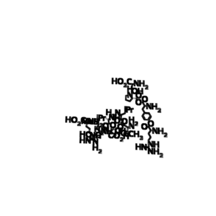 CC(C)C[C@H](N)C(=O)OC(=O)[C@@H](N)[C@@H](C)O.CC(C)[C@H](N)C(=O)O[C@H](C)[C@H](N)C(=O)O.CSCC[C@H](N)C(=O)O.N=C(N)NCCC[C@H](N)C(=O)O.N=C(N)NCCC[C@H](N)C(=O)Oc1ccc(C[C@H](N)C(=O)OC(=O)[C@@H]2CCCN2)cc1.N[C@@H](CO)C(=O)O